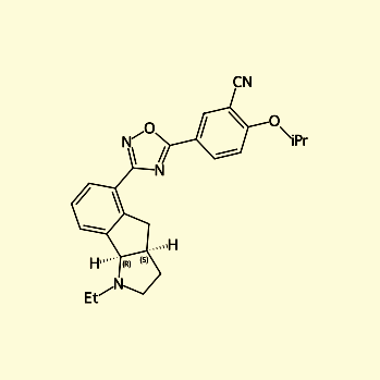 CCN1CC[C@@H]2Cc3c(-c4noc(-c5ccc(OC(C)C)c(C#N)c5)n4)cccc3[C@@H]21